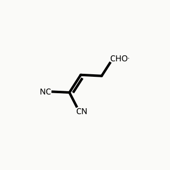 N#CC(C#N)=CC[C]=O